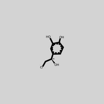 Oc1ccc([C@@H](O)CCl)cc1O